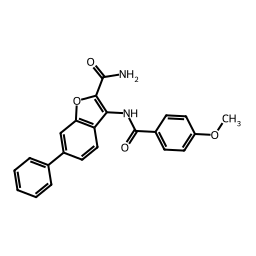 COc1ccc(C(=O)Nc2c(C(N)=O)oc3cc(-c4ccccc4)ccc23)cc1